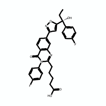 CC[C@@](O)(c1ccc(F)cc1)c1cc(-c2ccc3c(=O)n(-c4ccc(F)cc4)c(CCCCC(=O)O)nc3c2)no1